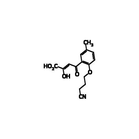 Cc1ccc(OCCCC#N)c(C(=O)C=C(O)C(=O)O)c1